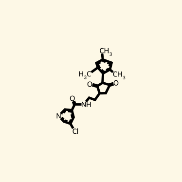 Cc1cc(C)c(C2C(=O)CC(CCNC(=O)c3cncc(Cl)c3)C2=O)c(C)c1